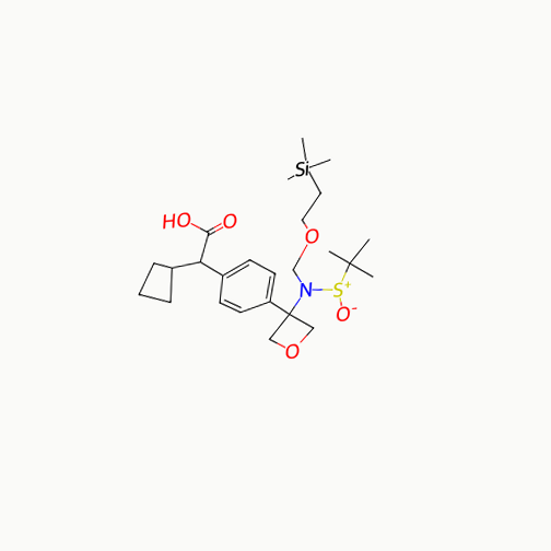 CC(C)(C)[S+]([O-])N(COCC[Si](C)(C)C)C1(c2ccc(C(C(=O)O)C3CCC3)cc2)COC1